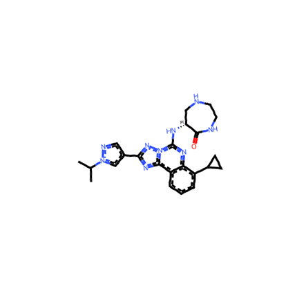 CC(C)n1cc(-c2nc3c4cccc(C5CC5)c4nc(N[C@@H]4CNCCNC4=O)n3n2)cn1